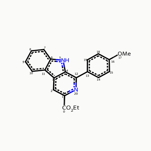 CCOC(=O)c1cc2c([nH]c3ccccc32)c(-c2ccc(OC)cc2)n1